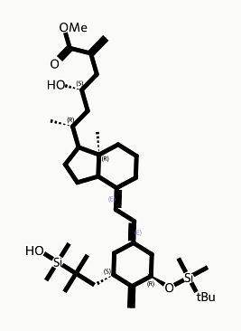 C=C(C[C@@H](O)C[C@@H](C)C1CCC2/C(=C/C=C3\C[C@@H](CC(C)(C)[Si](C)(C)O)C(=C)[C@H](O[Si](C)(C)C(C)(C)C)C3)CCC[C@@]21C)C(=O)OC